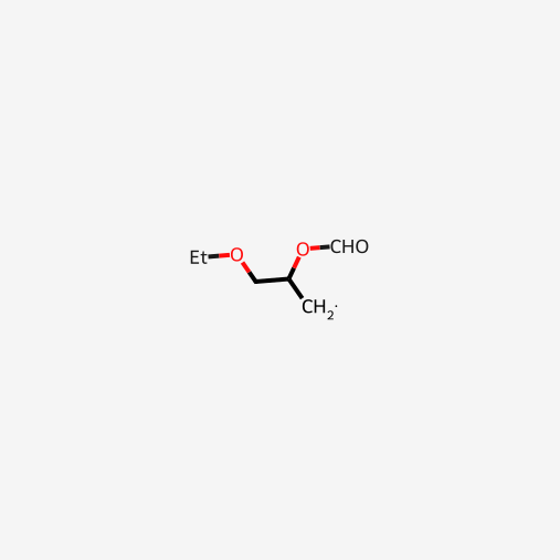 [CH2]C(COCC)OC=O